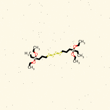 CCO[Si](CC)(CCCSSSSCCC[Si](CC)(OCC)OCC)OCC